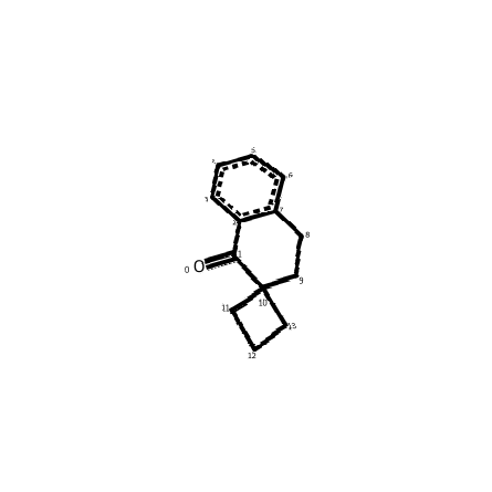 O=C1c2ccccc2CCC12CCC2